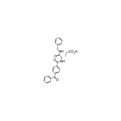 O=C(O)CC[C@H](NC(=O)c1ccc(C(=O)c2ccccc2)cc1)C(=O)NCc1ccccc1